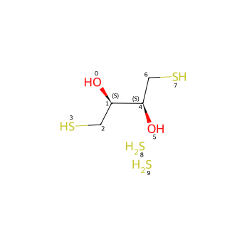 O[C@H](CS)[C@H](O)CS.S.S